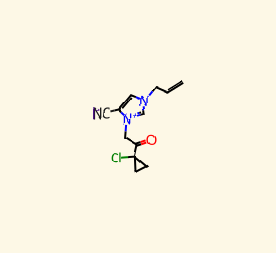 C=CCn1cc(C#N)[n+](CC(=O)C2(Cl)CC2)c1.[I-]